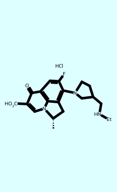 CCNCC1CCN(c2c(F)cc3c(=O)c(C(=O)O)cn4c3c2C[C@@H]4C)C1.Cl